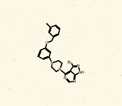 Cc1cccc(COc2cccc(N3CCN(c4ncnc5[nH]nc(Br)c45)CC3)c2)c1